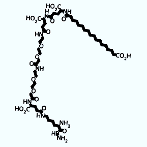 NPC(=O)[C@@H](N)CCCCNC(=O)CC[C@H](NC(=O)COCCOCCNC(=O)COCCOCCNC(=O)CC[C@H](NC(=O)CC[C@H](NC(=O)CCCCCCCCCCCCCCCCC(=O)O)C(=O)O)C(=O)O)C(=O)O